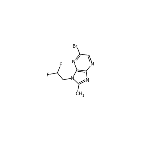 Cc1nc2ncc(Br)nc2n1CC(F)F